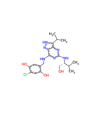 CC(C)c1[nH]nc2c(NCc3cc(O)c(Cl)cc3O)nc(N[C@@H](CO)C(C)C)nc12